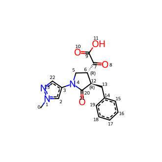 Cn1cc(N2C[C@H](C(=O)C(=O)O)[C@@H](Cc3ccccc3)C2=O)cn1